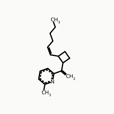 C=C(c1cccc(C)n1)C1CCC1/C=C\CCCC